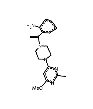 C=C(c1ccccc1N)N1CCN(c2cc(OC)nc(C)n2)CC1